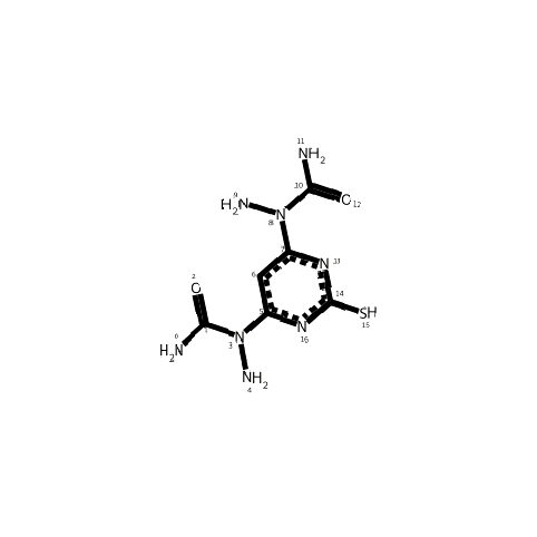 NC(=O)N(N)c1cc(N(N)C(N)=O)nc(S)n1